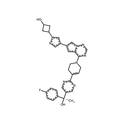 C[C@](O)(c1ccc(F)cc1)c1cnc(C2=CCN(c3ncnn4cc(-c5cnn(C6CC(O)C6)c5)cc34)CC2)nc1